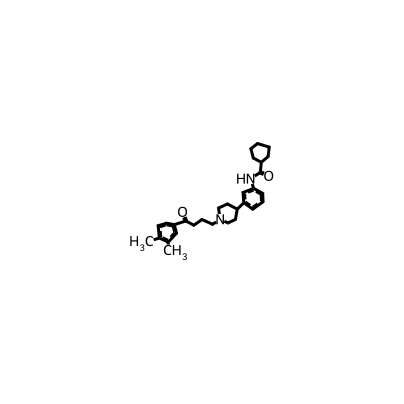 Cc1ccc(C(=O)CCCN2CCC(c3cccc(NC(=O)C4CCCCC4)c3)CC2)cc1C